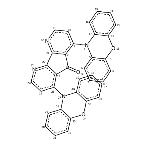 O=C1c2c(N3c4ccccc4Oc4ccccc43)ccnc2-c2nccc(N3c4ccccc4Oc4ccccc43)c21